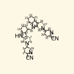 N#Cc1ccc(N2CCc3c([nH]c4cccc(Cn5c6c(c7ccccc75)CCN(c5ccc(C#N)nc5)C6)c34)C2)cn1